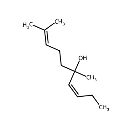 CC/C=C\C(C)(O)CCC=C(C)C